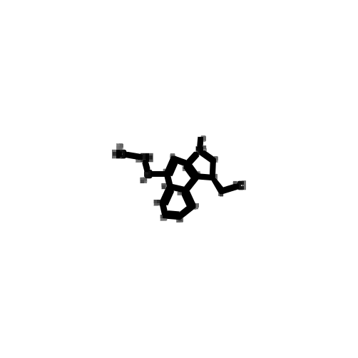 CN1C[C@@H](CCl)c2c1cc(OPO)c1ccccc21